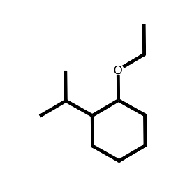 CCOC1CCCCC1C(C)C